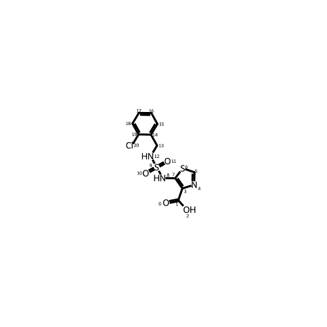 O=C(O)c1ncsc1NS(=O)(=O)NCc1ccccc1Cl